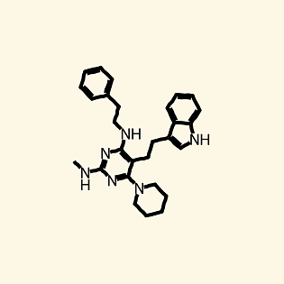 CNc1nc(NCCc2ccccc2)c(CCc2c[nH]c3ccccc23)c(N2CCCCC2)n1